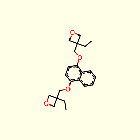 CCC1(COc2ccc(OCC3(CC)COC3)c3ccccc23)COC1